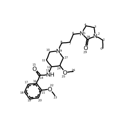 CCN1CCN(CCCN2CCC(NC(=O)c3ccccc3OC)C(OC)C2)C1=O